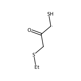 CCSCC(=O)[CH]S